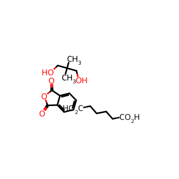 CC(C)(CO)CO.O=C(O)CCCCC(=O)O.O=C1OC(=O)c2ccccc21